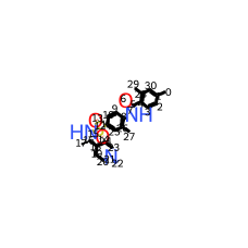 Cc1ccc(C(=O)Nc2ccc(S(=O)(=O)N[C@H](C)C3CCN(C)CC3)cc2C)c(C)c1